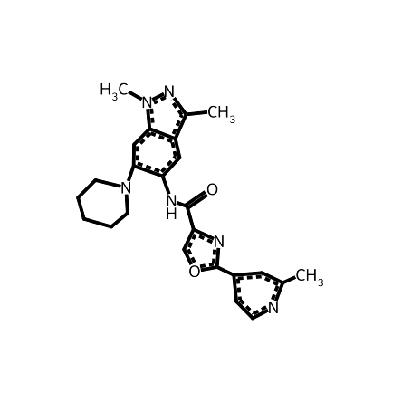 Cc1cc(-c2nc(C(=O)Nc3cc4c(C)nn(C)c4cc3N3CCCCC3)co2)ccn1